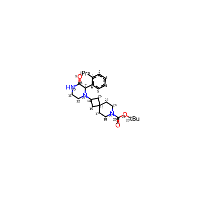 CC(C)c1ccccc1C1C(=O)NCCN1C1CC2(CCN(C(=O)OC(C)(C)C)CC2)C1